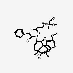 COc1ccc2c3c1OC1C(OC(=O)[C@@H](OC(=O)CCN[C@@](C)(O)C=O)c4ccccc4)=CC[C@@]4(O)[C@@H](C2)N(C)CCC314